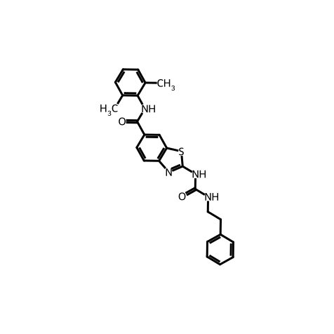 Cc1cccc(C)c1NC(=O)c1ccc2nc(NC(=O)NCCc3ccccc3)sc2c1